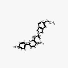 COc1cc2c(cn1)CN(C(=O)Nc1nc(-c3ccc(F)cc3)ccc1N)C2